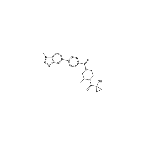 CC1CN(C(=O)c2ccc(-c3ccc4c(c3)ncn4C)cc2)CCN1C(=O)C1(O)CC1